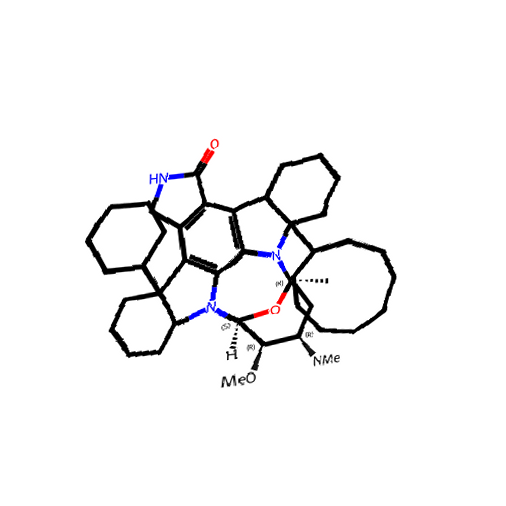 CN[C@@H]1C[C@@]2(C)O[C@@H]([C@@H]1OC)N1c3c4c(c5c(c3C3(C6CCCCC6)CCCCC13)CNC5=O)C1CCCCC1(C1CCCCCCCC1)N42